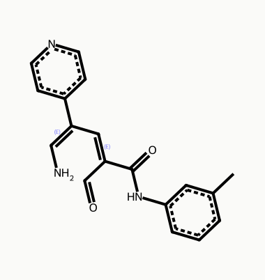 Cc1cccc(NC(=O)/C(C=O)=C/C(=C\N)c2ccncc2)c1